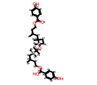 CC(CCOC(=O)c1ccc(O)cc1)CC1(C)CC[Si]1(C)OC(C)(C)[Si](C)(C)CC(C)CCOC(O)c1ccc(O)cc1